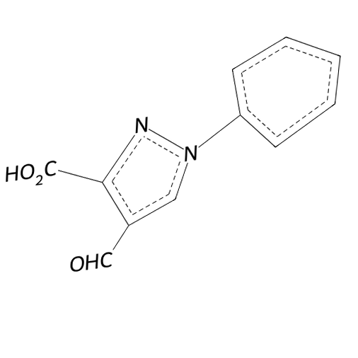 O=Cc1cn(-c2ccccc2)nc1C(=O)O